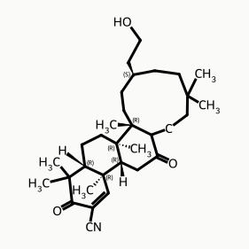 CC1(C)CCC2C(=O)C[C@@H]3[C@@]4(C)C=C(C#N)C(=O)C(C)(C)[C@@H]4CC[C@@]3(C)[C@]2(C)CC[C@@H](CCO)CC1